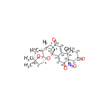 C[C@H]1[C@H]2CC[C@]3(O[C@]14CCC(C)(C)O4)C1=CC(=O)C4(N=O)CC(=O)CCC4(C)C1=CC(=O)C23